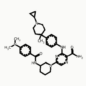 CN(C)c1ccc(C(=O)NC2CCCN(c3cnc(C(N)=O)c(Nc4ccc(C5(C)CCN(C6CC6)CC5)cc4)n3)C2)cc1